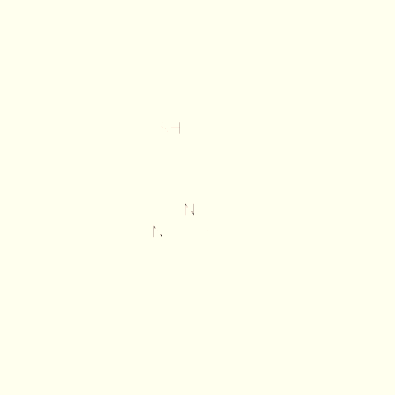 SC=CCc1ncc2ccccc2n1